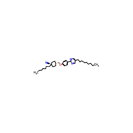 CCCCCCCCCc1cnc(-c2ccc(OC[C@H]3CC[C@@](C#N)(CCCCCCC)CC3)cc2)nc1